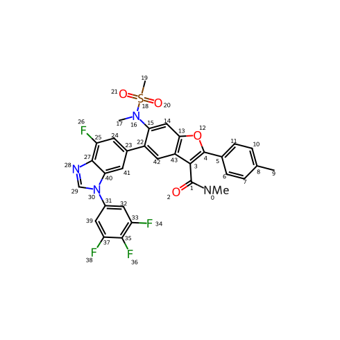 CNC(=O)c1c(-c2ccc(C)cc2)oc2cc(N(C)S(C)(=O)=O)c(-c3cc(F)c4ncn(-c5cc(F)c(F)c(F)c5)c4c3)cc12